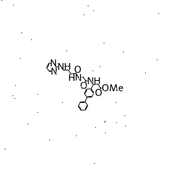 COC(=O)CC(NC(=O)CNC(=O)CCCNc1ncccn1)c1ccc(-c2ccccc2)cc1